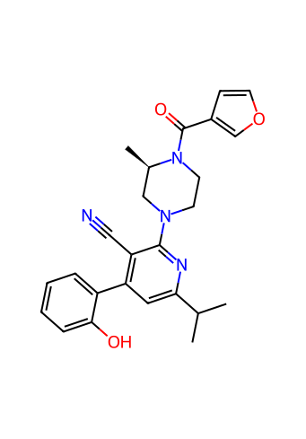 CC(C)c1cc(-c2ccccc2O)c(C#N)c(N2CCN(C(=O)c3ccoc3)[C@H](C)C2)n1